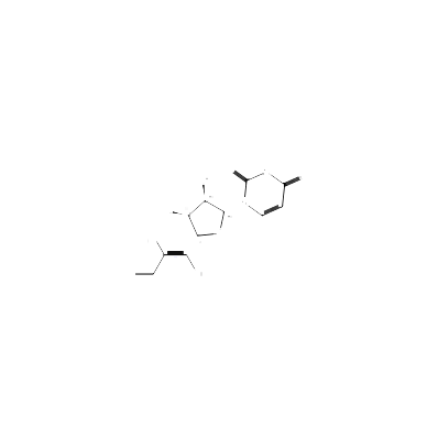 C/C(CF)=C(/O)[C@H]1O[C@@H](n2ccc(=O)[nH]c2=O)[C@H](O)[C@@H]1O